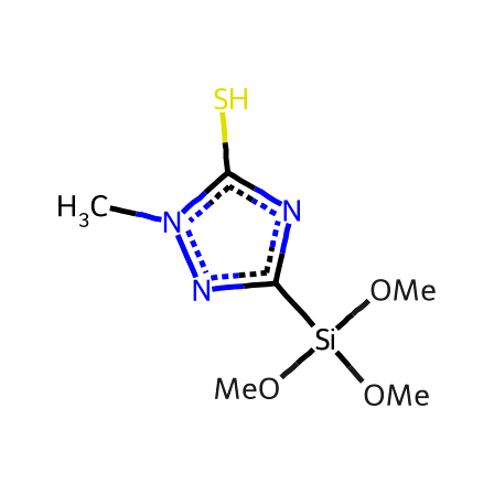 CO[Si](OC)(OC)c1nc(S)n(C)n1